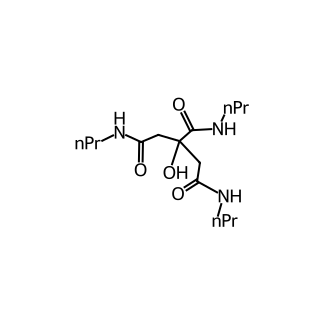 CCCNC(=O)CC(O)(CC(=O)NCCC)C(=O)NCCC